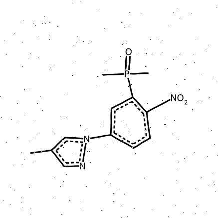 Cc1cnn(-c2ccc([N+](=O)[O-])c(P(C)(C)=O)c2)c1